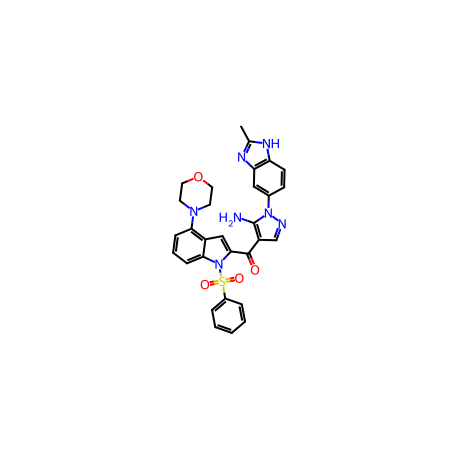 Cc1nc2cc(-n3ncc(C(=O)c4cc5c(N6CCOCC6)cccc5n4S(=O)(=O)c4ccccc4)c3N)ccc2[nH]1